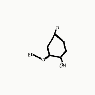 CCOC1CC(CC)CCC1O